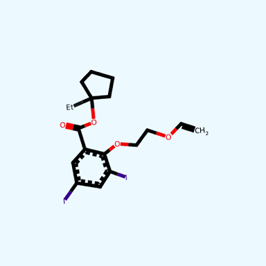 C=COCCOc1c(I)cc(I)cc1C(=O)OC1(CC)CCCC1